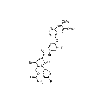 COc1cc2nccc(Oc3ccc(NC(=O)c4cc(Br)c(COC(N)=O)n(-c5ccc(F)cc5)c4=O)cc3F)c2cc1OC